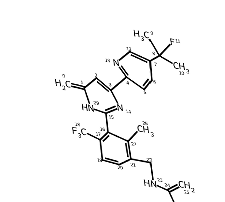 C=C1C=C(c2ccc(C(C)(C)F)cn2)N=C(c2c(C(F)(F)F)ccc(CNC(=C)C(C)C)c2C)N1